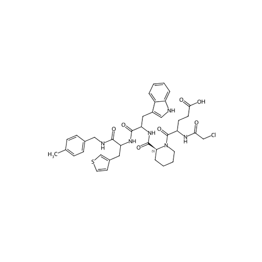 Cc1ccc(CNC(=O)C(Cc2ccsc2)NC(=O)C(Cc2c[nH]c3ccccc23)NC(=O)[C@@H]2CCCCN2C(=O)C(CCC(=O)O)NC(=O)CCl)cc1